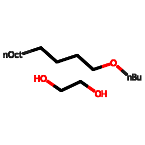 CCCCCCCCCCCCOCCCC.OCCO